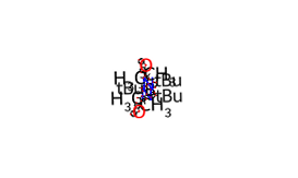 Cc1cc(N2c3ccc(C(C)(C)C)cc3B3c4ccc(C(C)(C)C)cc4N(c4cc(C)c(-c5ccc6c(c5)oc5ccccc56)c(C)c4)c4cc(C(C)(C)C)cc2c43)cc(C)c1-c1ccc2c(c1)oc1ccccc12